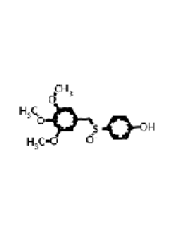 COc1cc(C[S+]([O-])c2ccc(O)cc2)cc(OC)c1OC